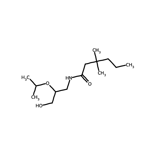 CCCC(C)(C)CC(=O)NCC(CO)OC(C)C